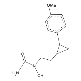 COc1ccc(C2CC2CCN(O)C(N)=O)cc1